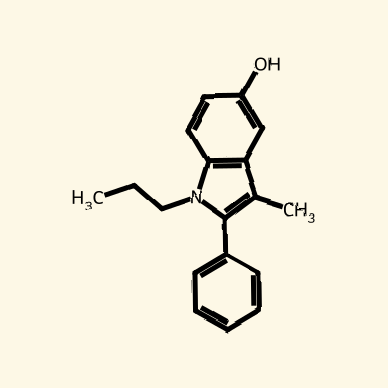 CCCn1c(-c2ccccc2)c(C)c2cc(O)ccc21